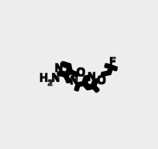 Cc1cc(C(C)N2Cc3c(ccnc3N)C2=O)cnc1OCCC(C)(C)F